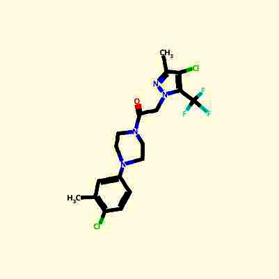 Cc1cc(N2CCN(C(=O)Cn3nc(C)c(Cl)c3C(F)(F)F)CC2)ccc1Cl